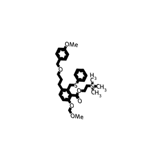 COCOc1ccc(CCCOCc2ccc(OC)cc2)c(CSc2ccccc2)c1C(=O)OCC[Si](C)(C)C